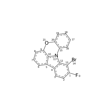 Fc1ccc2c3cccc4c3n(c2c1Br)-c1ccccc1O4